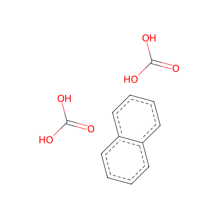 O=C(O)O.O=C(O)O.c1ccc2ccccc2c1